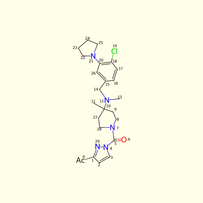 CC(=O)c1ccn(C(=O)N2CCC(C)(N(C)Cc3ccc(Cl)c(N4CCCC4)c3)CC2)n1